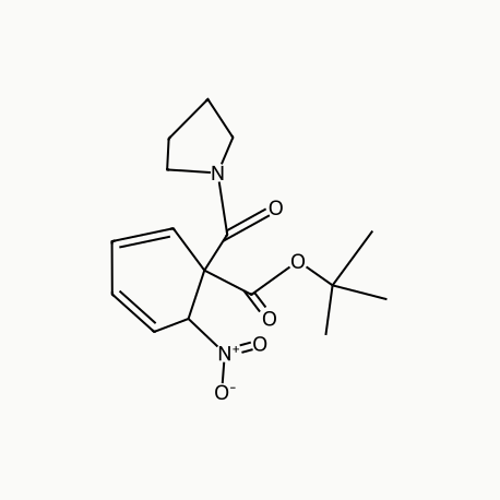 CC(C)(C)OC(=O)C1(C(=O)N2CCCC2)C=CC=CC1[N+](=O)[O-]